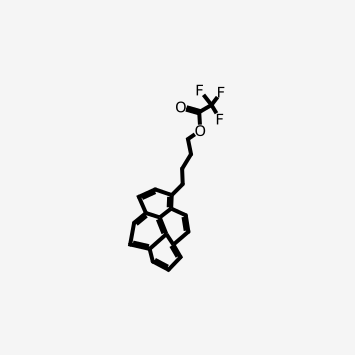 O=C(OCCCCc1ccc2ccc3cccc4ccc1c2c34)C(F)(F)F